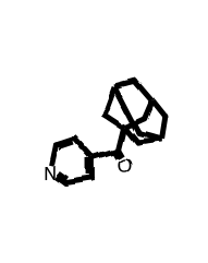 O=C(c1ccncc1)C12CC3CC(CC(C3)C1)C2